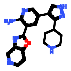 Nc1ncc(-c2c[nH]nc2C2CCNCC2)cc1-c1nc2cnccc2o1